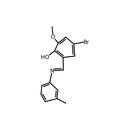 COc1cc(Br)cc(/C=N/c2cccc(C)c2)c1O